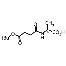 C[C@H](NC(=O)CCC(=O)OC(C)(C)C)C(=O)O